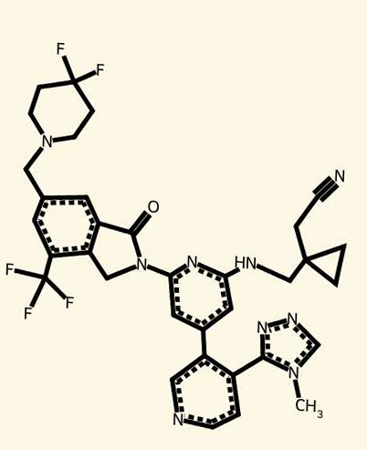 Cn1cnnc1-c1ccncc1-c1cc(NCC2(CC#N)CC2)nc(N2Cc3c(cc(CN4CCC(F)(F)CC4)cc3C(F)(F)F)C2=O)c1